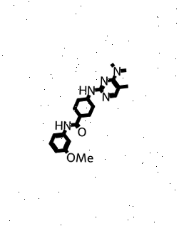 COc1cccc(NC(=O)C2CCC(Nc3ncc(C)c(N(C)C)n3)CC2)c1